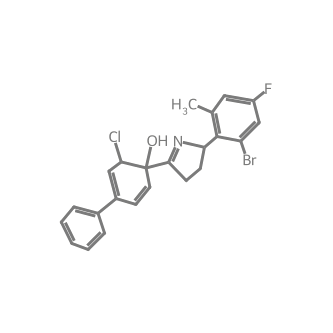 Cc1cc(F)cc(Br)c1C1CCC(C2(O)C=CC(c3ccccc3)=CC2Cl)=N1